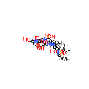 COc1ccc(N=Nc2c(S(=O)(=O)O)cc3c(S(=O)(=O)O)c(N=Nc4c(S(=O)(=O)O)cc5cc(OS(=O)O)c(N=Nc6ccc7c(O)c(N=Nc8ccc(CO)cc8S(=O)(=O)O)c(SOOO)cc7c6S(=O)(=O)O)c(O)c5c4N)ccc3c2O)c(SOOO)c1